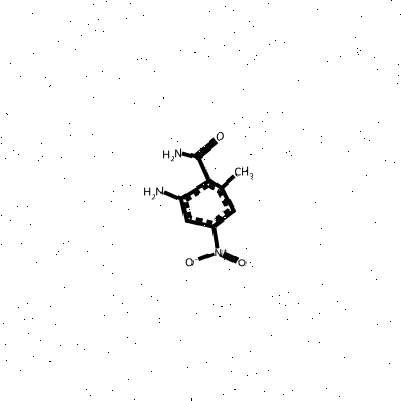 Cc1cc([N+](=O)[O-])cc(N)c1C(N)=O